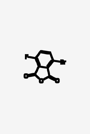 O=C1OC(=O)c2c(Br)ccc(F)c21